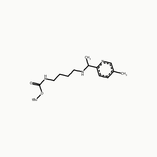 Cc1ccc(C(C)NCCCCNC(=O)OC(C)(C)C)nc1